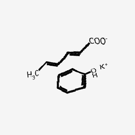 C/C=C/C=C/C(=O)[O-].Oc1ccccc1.[K+]